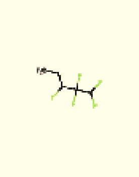 F[C](F)C(F)(F)C(F)CC(F)(F)F